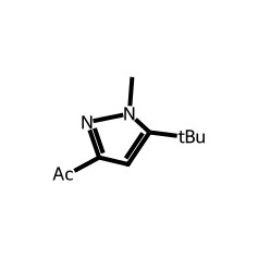 CC(=O)c1cc(C(C)(C)C)n(C)n1